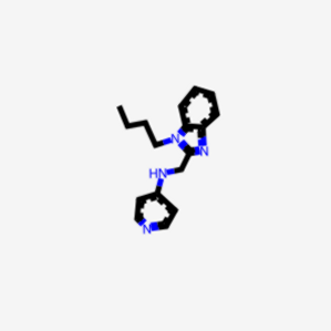 CCCCn1c(CNc2ccncc2)nc2ccccc21